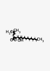 CCCCCCCCCCCC(O)C[C@H]1OC(=O)[C@@H]1CC=C(C)C